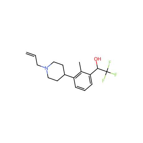 C=CCN1CCC(c2cccc(C(O)C(F)(F)F)c2C)CC1